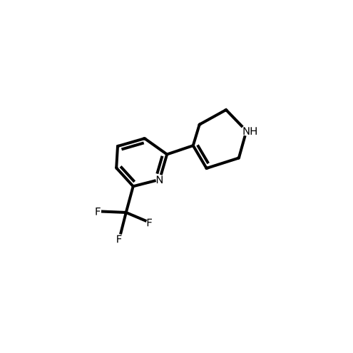 FC(F)(F)c1cccc(C2=CCNCC2)n1